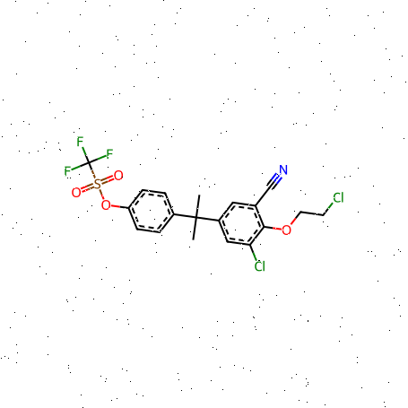 CC(C)(c1ccc(OS(=O)(=O)C(F)(F)F)cc1)c1cc(Cl)c(OCCCl)c(C#N)c1